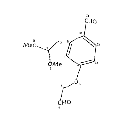 COC(C)OC.O=CCOc1ccc(C=O)cc1